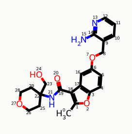 Cc1oc2ccc(OCc3cccnc3N)cc2c1C(=O)NC1(CO)CCOCC1